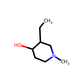 CCC1CN(C)CCC1O